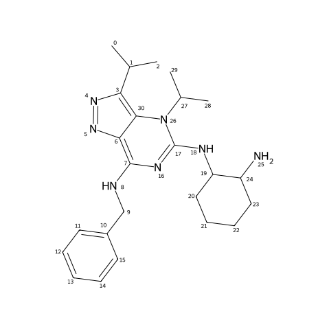 CC(C)c1nnc2c(NCc3ccccc3)nc(NC3CCCCC3N)n(C(C)C)c1-2